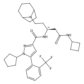 O=C(C[C@H](CCN1C2CCCC1CC2)NC(=O)c1cc(-c2ccccc2C(F)(F)F)n(C2CCCC2)n1)NC1CCC1